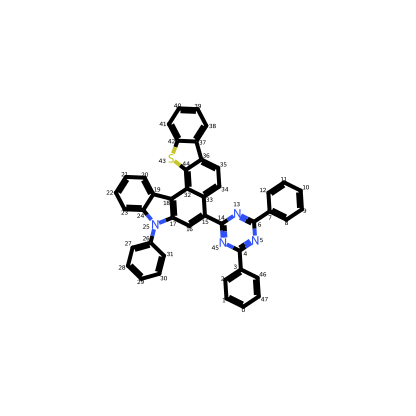 c1ccc(-c2nc(-c3ccccc3)nc(-c3cc4c(c5ccccc5n4-c4ccccc4)c4c3ccc3c5ccccc5sc34)n2)cc1